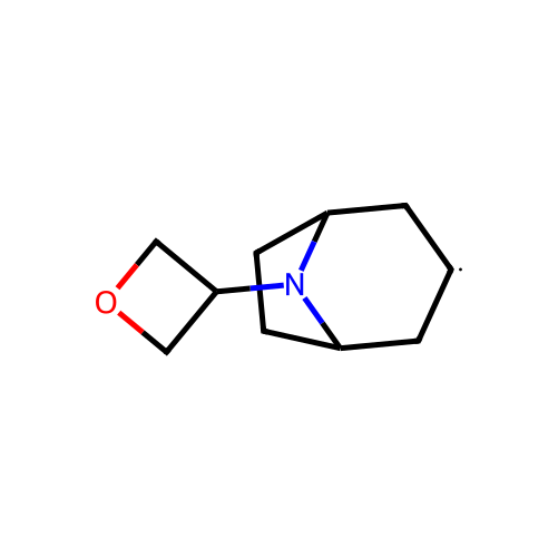 [CH]1CC2CCC(C1)N2C1COC1